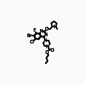 CCCCOC(=O)N1CCN(c2nc(OCC3CCCN3C)nc3c(F)c(Br)c(Cl)cc23)CC1